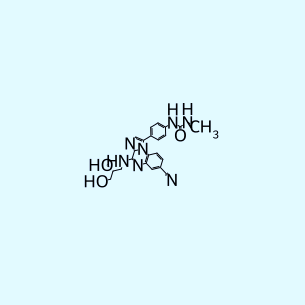 CNC(=O)Nc1ccc(-c2cnc3c(NC[C@@H](O)CO)nc4cc(C#N)ccc4n23)cc1